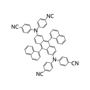 [C-]#[N+]c1ccc(N(c2ccc(C#N)cc2)c2ccc3c(-c4cccc5ccccc45)c4cc(N(c5ccc(C#N)cc5)c5ccc(C#N)cc5)ccc4c(-c4cccc5ccccc45)c3c2)cc1